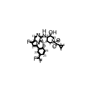 O=S(=O)(C1CC1)N1CC[C@@H](Nc2ncc3c(F)cc(-c4cc(C(F)F)ccc4F)n3n2)[C@H](O)C1